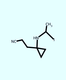 CC(I)NC1(CCC#N)CC1